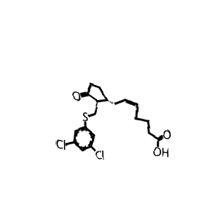 O=C(O)CCC/C=C\C[C@H]1CCC(=O)[C@@H]1CSc1cc(Cl)cc(Cl)c1